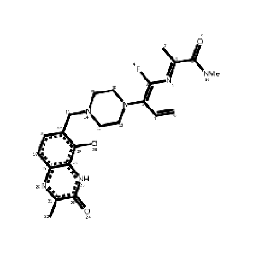 C=C/C(=C(F)\N=C(/C)C(=O)NC)N1CCN(Cc2ccc3nc(C)c(=O)[nH]c3c2Cl)CC1